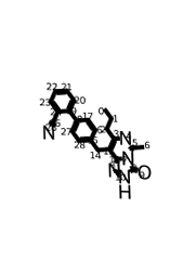 CCCc1nc(C)n2c(=O)[nH]nc2c1Cc1ccc(-c2ccccc2C#N)cc1